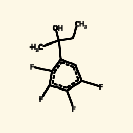 [CH2]C(O)(CC)c1cc(F)c(F)c(F)c1F